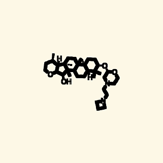 C[C@@H]1CCOC2[C@H]1[C@@]1(C)CCC34C[C@@]35CC[C@H](O[C@H]3CN(CCN6CCC6)CCO3)C(C)(C)[C@@H]5CCC4C1(C)[C@H]2O